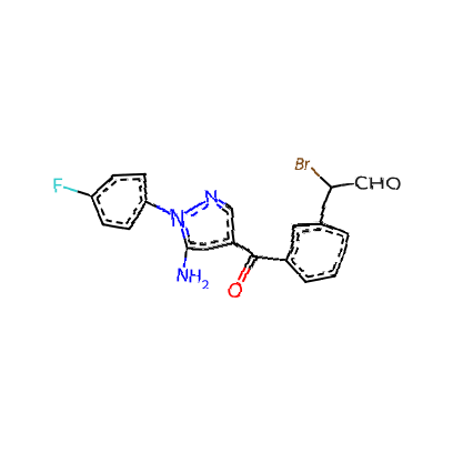 Nc1c(C(=O)c2cccc(C(Br)C=O)c2)cnn1-c1ccc(F)cc1